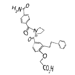 NC(=O)c1ccc(C(=O)N2CCC[C@@H]2C(=O)c2ccc(OCC(=O)O)c(CCc3ccccc3)c2)cc1